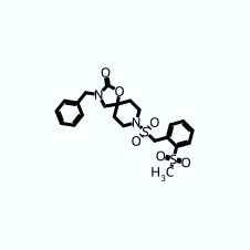 CS(=O)(=O)c1ccccc1CS(=O)(=O)N1CCC2(CC1)CN(Cc1ccccc1)C(=O)O2